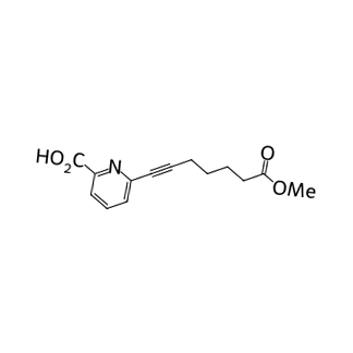 COC(=O)CCCCC#Cc1cccc(C(=O)O)n1